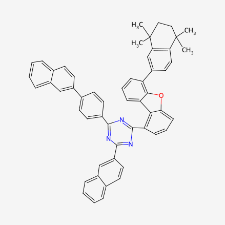 CC1(C)CCC(C)(C)c2cc(-c3cccc4c3oc3cccc(-c5nc(-c6ccc(-c7ccc8ccccc8c7)cc6)nc(-c6ccc7ccccc7c6)n5)c34)ccc21